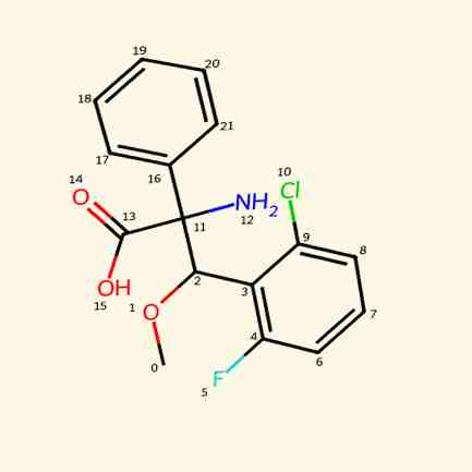 COC(c1c(F)cccc1Cl)C(N)(C(=O)O)c1ccccc1